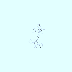 O=C1NC(c2ccc(-c3cc4c(-c5ccccc5)c5[nH]ccc5c(-c5ccccc5)c4[nH]3)s2)=C2C(=O)NC(c3cccs3)=C12